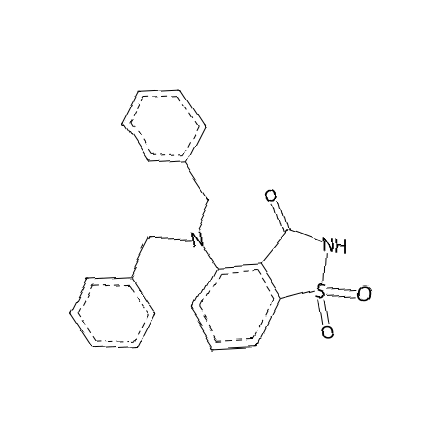 O=C1NS(=O)(=O)c2cccc(N(Cc3ccccc3)Cc3ccccc3)c21